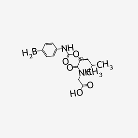 Bc1ccc(NC(=O)O[C@@H](CC(C)C)C(=O)NCC(=O)O)cc1